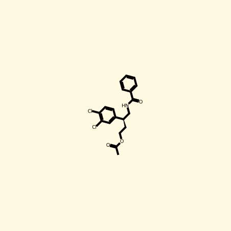 CC(=O)OCC[C@H](CNC(=O)c1ccccc1)c1ccc(Cl)c(Cl)c1